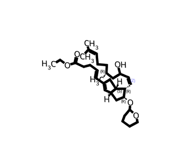 CCOC(=O)CCC=CC1=C[C@H]2C[C@@H](OC3CCCCO3)[C@@H](/C=C\C(O)C[C@H](C)CCC=C(C)C)[C@H]2C1